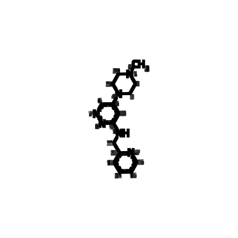 CN1CCN(c2cnnc(NCc3ccccn3)c2)CC1